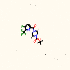 C[C@@H]1CN(C(=O)OC(C)(C)C)[C@@H](C)CN1C(=O)c1ccc(F)c(C(F)(F)F)n1